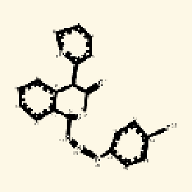 CC(=O)C(c1ccccn1)c1ccccc1C(=O)N=[N+]=Nc1ccc(F)cc1